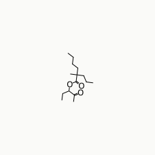 CCCCC(C)(CCC)C(=O)OC(CC)C(C)=O